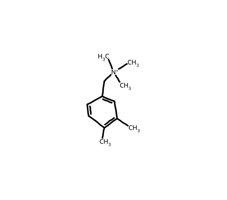 Cc1ccc(C[N+](C)(C)C)cc1C